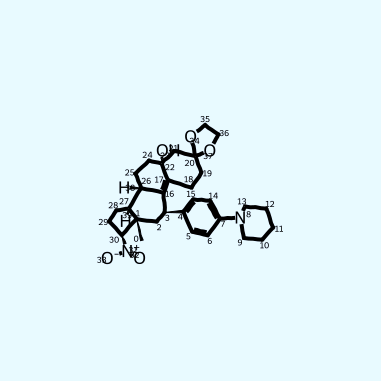 C[C@]12C[C@H](c3ccc(N4CCCCC4)cc3)C3=C4CCC5(C[C@]4(O)CC[C@H]3[C@@H]1CC[C@@H]2[N+](=O)[O-])OCCO5